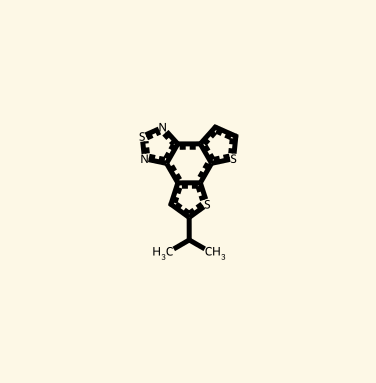 CC(C)c1cc2c3nsnc3c3ccsc3c2s1